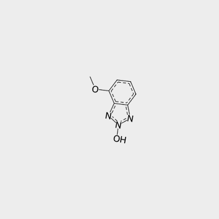 COc1cccc2nn(O)nc12